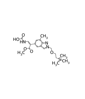 COC(=O)C(=CNC(=O)O)c1cc(C)c2nn(COCC[Si](C)(C)C)cc2c1